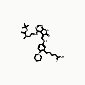 C=C(OC(C)(C)C)N(C)CCNc1ncnc2c1/C(=C/Nc1ccc(N3CCCCC3)c(CCCCC(=O)O)c1)C(=O)N2